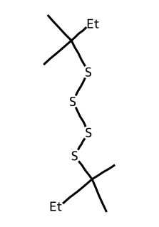 CCC(C)(C)SSSSC(C)(C)CC